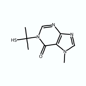 Cn1cnc2ncn(C(C)(C)S)c(=O)c21